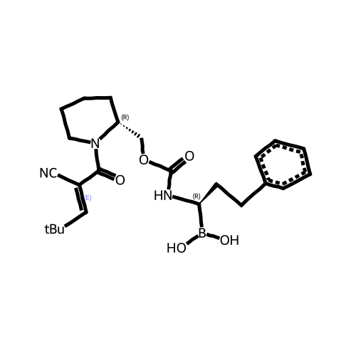 CC(C)(C)/C=C(\C#N)C(=O)N1CCCC[C@@H]1COC(=O)N[C@@H](CCc1ccccc1)B(O)O